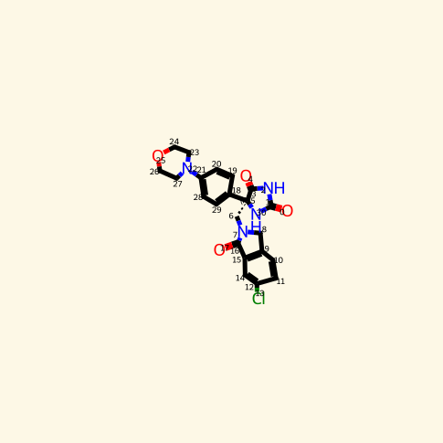 O=C1NC(=O)[C@](CN2Cc3ccc(Cl)cc3C2=O)(c2ccc(N3CCOCC3)cc2)N1